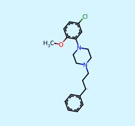 COc1ccc(Cl)cc1N1CCN(CC[CH]c2ccccc2)CC1